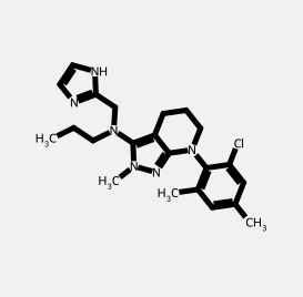 CCCN(Cc1ncc[nH]1)c1c2c(nn1C)N(c1c(C)cc(C)cc1Cl)CCC2